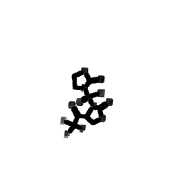 O=C1OCCN1P(=O)(Cl)N1C(=O)OCC1C(=O)C(F)(F)F